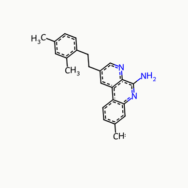 [CH]c1ccc2c(c1)nc(N)c1ncc(CCc3ccc(C)cc3C)cc12